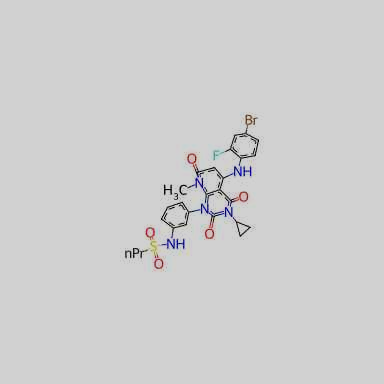 CCCS(=O)(=O)Nc1cccc(-n2c(=O)n(C3CC3)c(=O)c3c(Nc4ccc(Br)cc4F)cc(=O)n(C)c32)c1